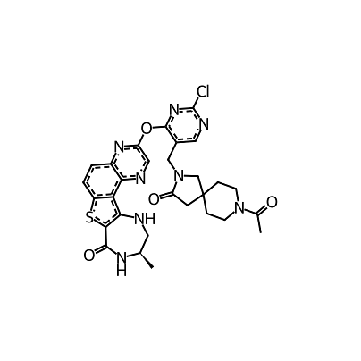 CC(=O)N1CCC2(CC1)CC(=O)N(Cc1cnc(Cl)nc1Oc1cnc3c(ccc4sc5c(c43)NC[C@@H](C)NC5=O)n1)C2